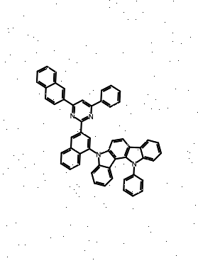 c1ccc(-c2cc(-c3ccc4ccccc4c3)nc(-c3cc(-n4c5ccccc5c5c4ccc4c6ccccc6n(-c6ccccc6)c45)c4ccccc4c3)n2)cc1